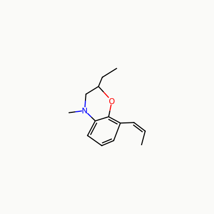 C/C=C\c1cccc2c1OC(CC)CN2C